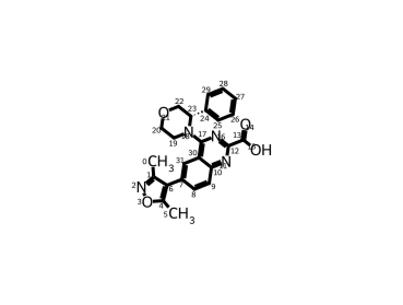 Cc1noc(C)c1-c1ccc2nc(C(=O)O)nc(N3CCOC[C@@H]3c3ccccc3)c2c1